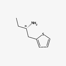 CC[C@H](N)Cc1cccs1